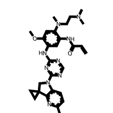 C=CC(=O)Nc1cc(Nc2ncnc(N3CC4(CC4)c4nc(C)ccc43)n2)c(OC)cc1N(C)CCN(C)C